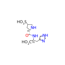 O=C(O)[C@H](Cc1c[nH]cn1)NC(=O)[C@@H]1CC(S(=O)(=O)O)CN1